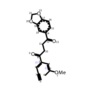 C#C/C=C(\C=C(/C)OC)C(=O)CCC(=O)c1ccc2c(c1)OCO2